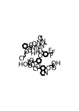 COc1nc(C)nc(NC(=O)NS(=O)(=O)c2ccccc2OCCCl)n1.C[C@H](OC(=O)c1cc(Oc2ccc(C(F)(F)F)cc2Cl)ccc1Cl)C(=O)O.O=C(O)COc1ccc(Cl)c2cccnc12